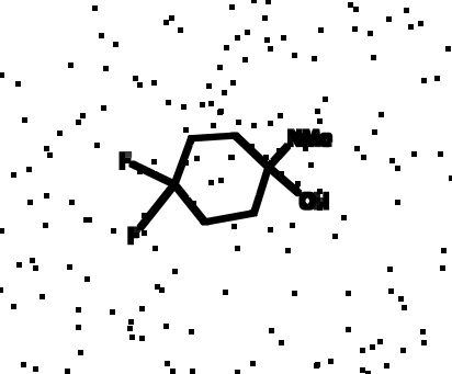 CNC1(O)CCC(F)(F)CC1